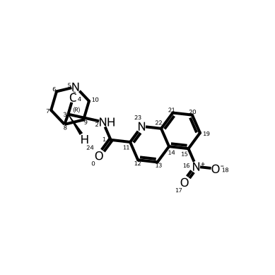 O=C(N[C@H]1CN2CCC1CC2)c1ccc2c([N+](=O)[O-])cccc2n1